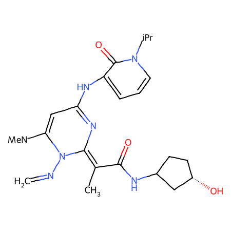 C=NN1C(NC)=CC(Nc2cccn(C(C)C)c2=O)=N/C1=C(/C)C(=O)NC1CC[C@H](O)C1